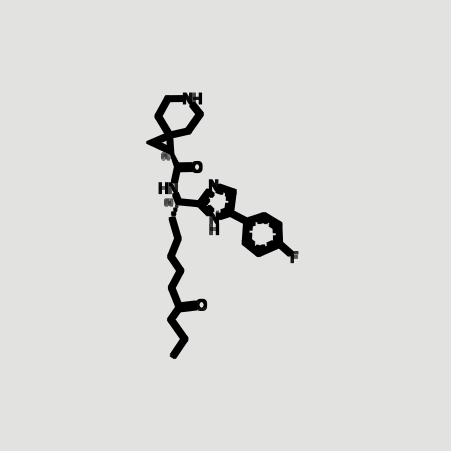 CCCC(=O)CCCCC[C@H](NC(=O)[C@H]1CC12CCNCC2)c1ncc(-c2ccc(F)cc2)[nH]1